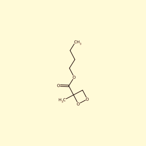 CCCCOC(=O)C1(C)COO1